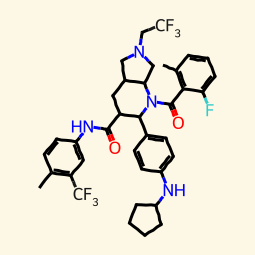 Cc1ccc(NC(=O)C2CC3CN(CC(F)(F)F)CC3N(C(=O)c3c(C)cccc3F)C2c2ccc(NC3CCCC3)cc2)cc1C(F)(F)F